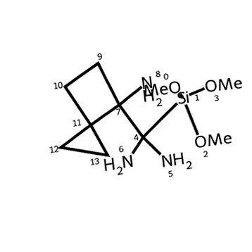 CO[Si](OC)(OC)C(N)(N)C1(N)CCC12CC2